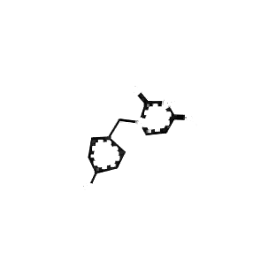 O=c1ccn(Cc2ccc(Br)cc2)c(=O)[nH]1